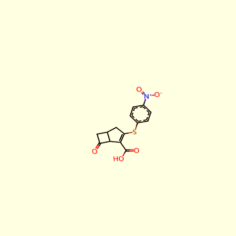 O=C(O)C1=C(Sc2ccc([N+](=O)[O-])cc2)CC2CC(=O)C12